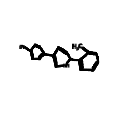 Cc1ccccc1C1C=CC(c2ccc(C(C)C)cc2)=CN1